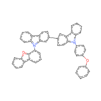 c1ccc(Oc2ccc(-n3c4ccccc4c4cc(-c5ccc6c7ccccc7n(-c7cccc8c7oc7ccccc78)c6c5)ccc43)cc2)cc1